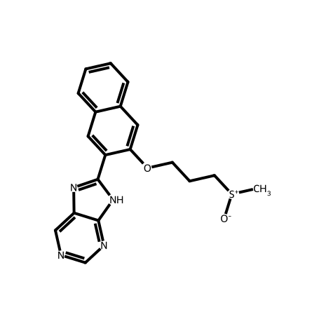 C[S+]([O-])CCCOc1cc2ccccc2cc1-c1nc2cncnc2[nH]1